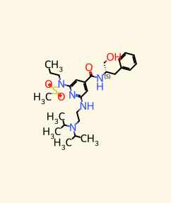 CCCN(c1cc(C(=O)N[C@H](CO)Cc2ccccc2)cc(NCCN(C(C)C)C(C)C)n1)S(C)(=O)=O